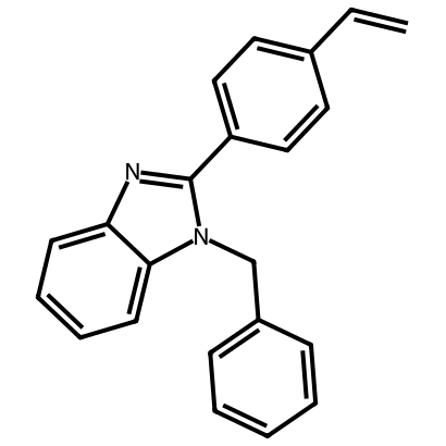 C=Cc1ccc(-c2nc3ccccc3n2Cc2ccccc2)cc1